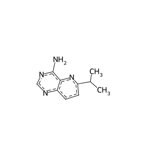 CC(C)c1ccc2ncnc(N)c2n1